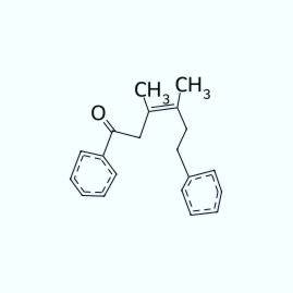 CC(CCc1ccccc1)=C(C)CC(=O)c1ccccc1